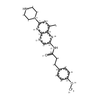 Cc1nc(N2CCNCC2)nc2ncc(NC(=O)CCc3ccc(OC(F)(F)F)cc3)nc12